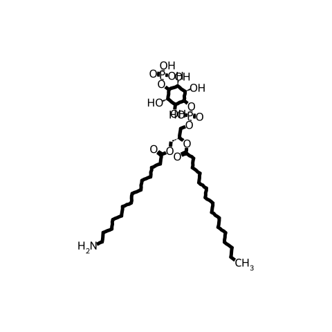 CCCCCCCCCCCCCCCC(=O)O[C@H](COC(=O)CCCCCCCCCCCCCN)COP(=O)(O)OC1C(O)[C@H](O)C(OP(=O)(O)O)[C@H](O)[C@@H]1O